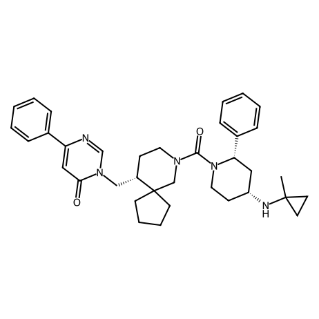 CC1(N[C@@H]2CCN(C(=O)N3CC[C@@H](Cn4cnc(-c5ccccc5)cc4=O)C4(CCCC4)C3)[C@H](c3ccccc3)C2)CC1